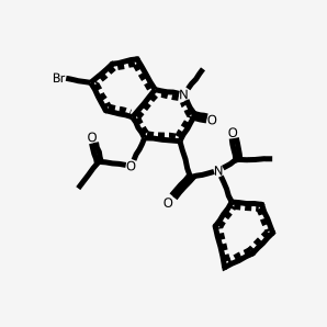 CC(=O)Oc1c(C(=O)N(C(C)=O)c2ccccc2)c(=O)n(C)c2ccc(Br)cc12